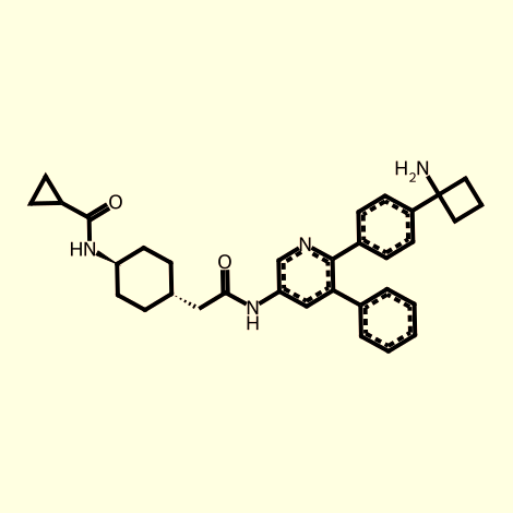 NC1(c2ccc(-c3ncc(NC(=O)C[C@H]4CC[C@H](NC(=O)C5CC5)CC4)cc3-c3ccccc3)cc2)CCC1